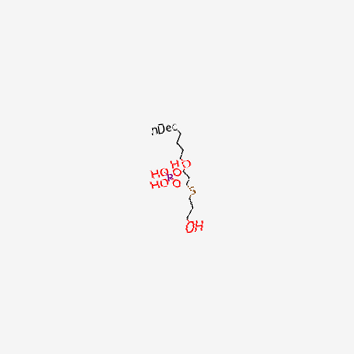 CCCCCCCCCCCCCCOCCCSCCCO.O=P(O)(O)O